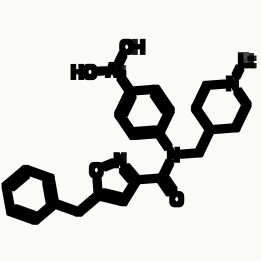 CCN1CCC(CN(C(=O)c2cc(Cc3ccccc3)on2)c2ccc([As](O)O)cc2)CC1